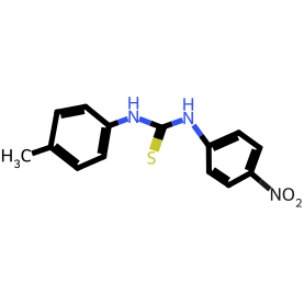 Cc1ccc(NC(=S)Nc2ccc([N+](=O)[O-])cc2)cc1